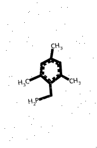 Cc1cc(C)c(CP)c(C)c1